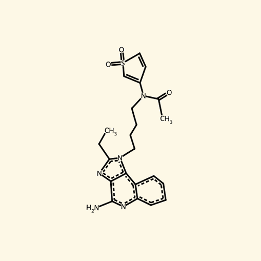 CCc1nc2c(N)nc3ccccc3c2n1CCCCN(C(C)=O)C1=CS(=O)(=O)C=C1